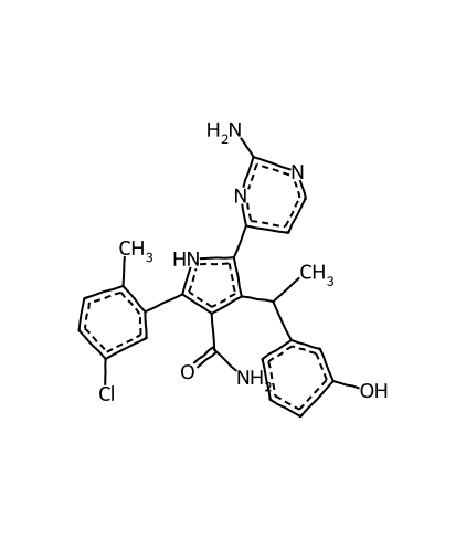 Cc1ccc(Cl)cc1-c1[nH]c(-c2ccnc(N)n2)c(C(C)c2cccc(O)c2)c1C(N)=O